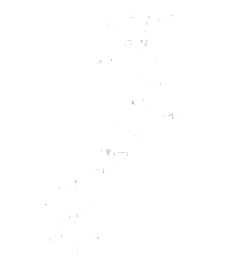 CCc1cc(CNCCc2ccc3c(c2)CCO3)ccc1OCCN1C(=O)CCC1=O